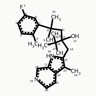 Cc1ccc(F)cc1C(C)(C)CC(O)(Cc1[nH]c2cnccc2c1C)C(C)(C)C